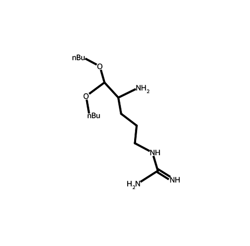 CCCCOC(OCCCC)C(N)CCCNC(=N)N